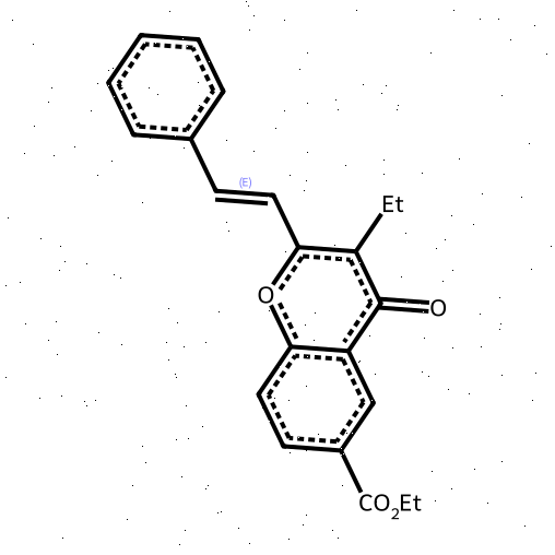 CCOC(=O)c1ccc2oc(/C=C/c3ccccc3)c(CC)c(=O)c2c1